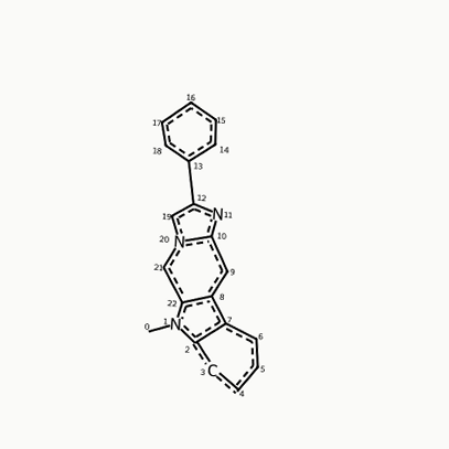 Cn1c2ccccc2c2cc3nc(-c4ccccc4)cn3cc21